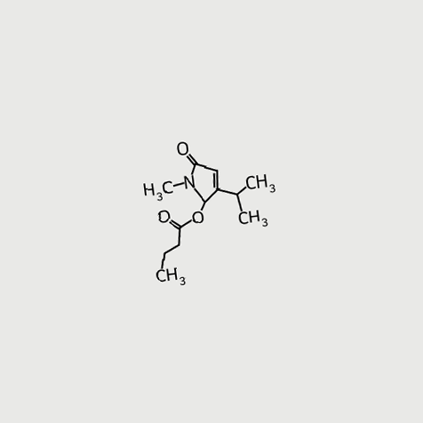 CCCC(=O)OC1C(C(C)C)=CC(=O)N1C